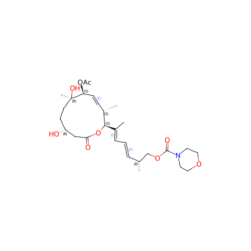 CC(=O)O[C@H]1/C=C/[C@H](C)[C@@H](/C(C)=C/C=C/[C@@H](C)COC(=O)N2CCOCC2)OC(=O)C[C@H](O)CC[C@@]1(C)O